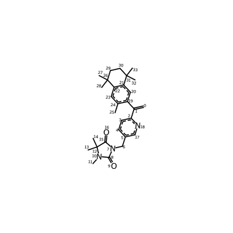 C=C(c1ccc(CN2C(=O)N(C)C(C)(C)C2=O)cn1)c1cc2c(cc1C)C(C)(C)CCC2(C)C